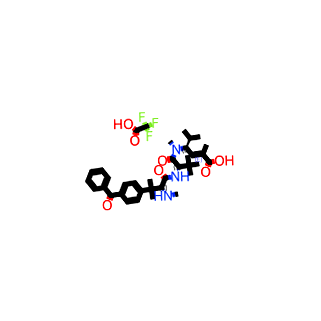 CN[C@H](C(=O)N[C@H](C(=O)N(C)[C@H](/C=C(\C)C(=O)O)C(C)C)C(C)(C)C)C(C)(C)c1ccc(C(=O)c2ccccc2)cc1.O=C(O)C(F)(F)F